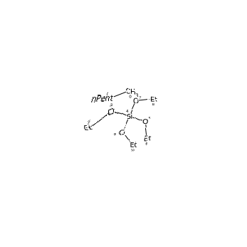 CCCCCC.CCO[Si](OCC)(OCC)OCC